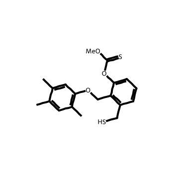 COC(=S)Oc1cccc(CS)c1COc1cc(C)c(C)cc1C